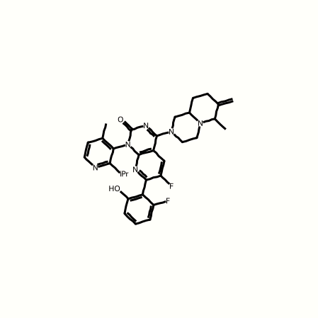 C=C1CCC2CN(c3nc(=O)n(-c4c(C)ccnc4C(C)C)c4nc(-c5c(O)cccc5F)c(F)cc34)CCN2C1C